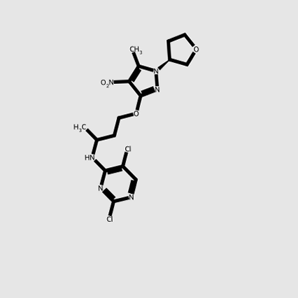 Cc1c([N+](=O)[O-])c(OCCC(C)Nc2nc(Cl)ncc2Cl)nn1[C@H]1CCOC1